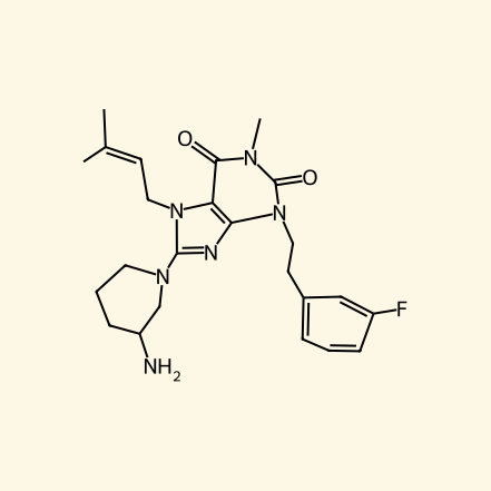 CC(C)=CCn1c(N2CCCC(N)C2)nc2c1c(=O)n(C)c(=O)n2CCc1cccc(F)c1